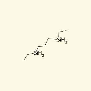 CC[SiH2]CCC[SiH2]CC